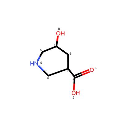 O=C(O)C1CNCC(O)C1